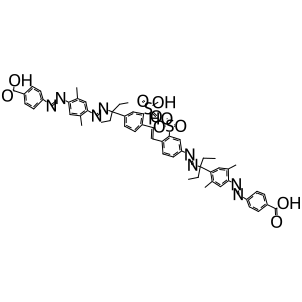 CCC(CC)(N=Nc1cc(C)c(N=Nc2ccc(C(=O)O)cc2)cc1C)c1ccc(C=Cc2ccc(N=NC(CC)(CC)c3cc(C)c(N=Nc4ccc(C(=O)O)cc4)cc3C)cc2S(=O)(=O)O)c(S(=O)(=O)O)c1